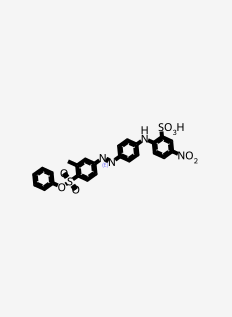 Cc1cc(/N=N/c2ccc(Nc3ccc([N+](=O)[O-])cc3S(=O)(=O)O)cc2)ccc1S(=O)(=O)Oc1ccccc1